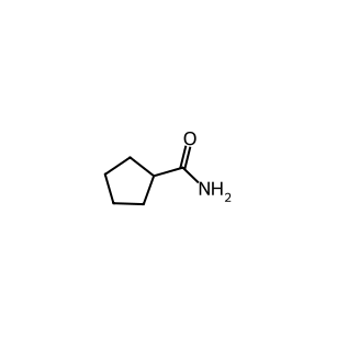 NC(=O)C1CCCC1